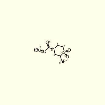 CCCC1CN(C(=O)OC(C)(C)C)CCS1(=O)=O